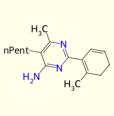 CCCCCc1c(C)nc(C2=C(C)CCC=C2)nc1N